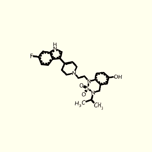 CC(C)N1Cc2cc(O)ccc2N(CCN2CC=C(c3c[nH]c4cc(F)ccc34)CC2)S1(=O)=O